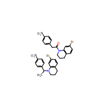 CC(c1ccc([N+](=O)[O-])cc1)N1CCCc2ccc(Br)cc21.O=C(Cc1ccc([N+](=O)[O-])cc1)N1CCCc2ccc(Br)cc21